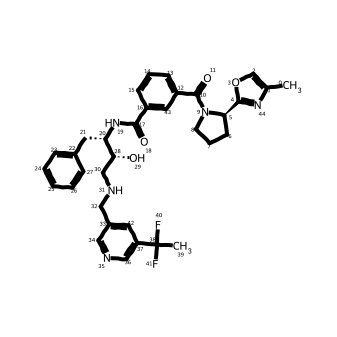 Cc1coc([C@H]2CCCN2C(=O)c2cccc(C(=O)N[C@@H](Cc3ccccc3)[C@H](O)CNCc3cncc(C(C)(F)F)c3)c2)n1